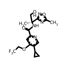 Cc1nc([C@](C)(CO)NC(=O)c2cc(OCC(F)(F)F)c(C3CC3)cn2)no1